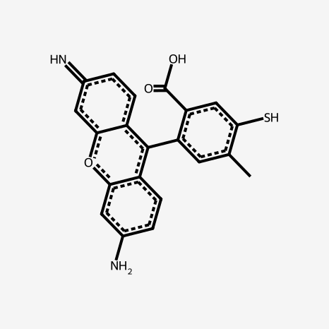 Cc1cc(-c2c3ccc(=N)cc-3oc3cc(N)ccc23)c(C(=O)O)cc1S